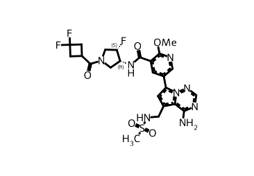 COc1ncc(-c2cc(CNS(C)(=O)=O)c3c(N)ncnn23)cc1C(=O)N[C@@H]1CN(C(=O)C2CC(F)(F)C2)C[C@@H]1F